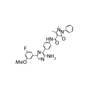 COc1cc(F)cc(-c2cnc(N)c(-c3ccc(NC(=O)c4c(C)n(C)n(-c5ccccc5)c4=O)cc3)n2)c1